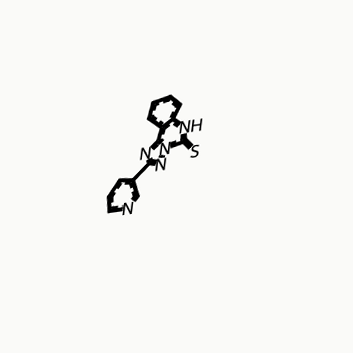 S=c1[nH]c2ccccc2c2nc(-c3cccnc3)nn12